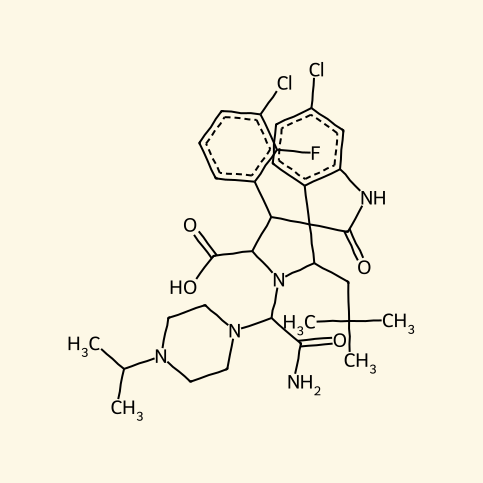 CC(C)N1CCN(C(C(N)=O)N2C(C(=O)O)C(c3cccc(Cl)c3F)C3(C(=O)Nc4cc(Cl)ccc43)C2CC(C)(C)C)CC1